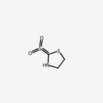 O=S(=O)=C1NCCS1